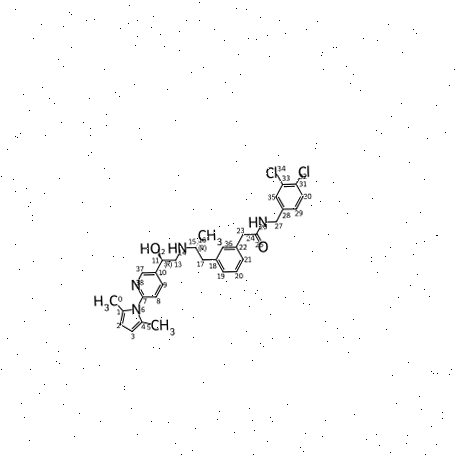 Cc1ccc(C)n1-c1ccc([C@@H](O)CN[C@H](C)Cc2cccc(CC(=O)NCc3ccc(Cl)c(Cl)c3)c2)cn1